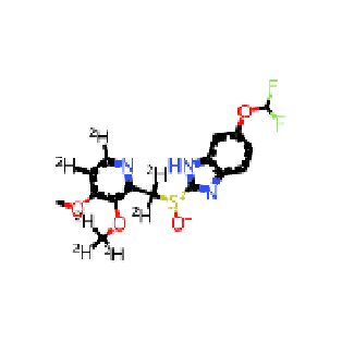 [2H]c1nc(C([2H])([2H])[S+]([O-])c2nc3ccc(OC(F)F)cc3[nH]2)c(OC([2H])([2H])[2H])c(OC)c1[2H]